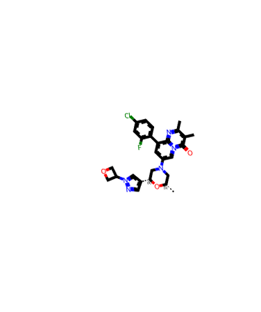 Cc1nc2c(-c3ccc(Cl)cc3F)cc(N3C[C@@H](c4cnn(C5COC5)c4)O[C@@H](C)C3)cn2c(=O)c1C